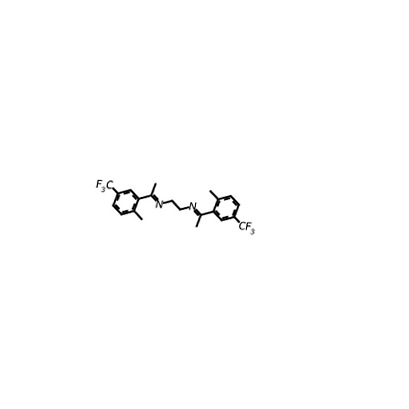 C/C(=N\CC/N=C(\C)c1cc(C(F)(F)F)ccc1C)c1cc(C(F)(F)F)ccc1C